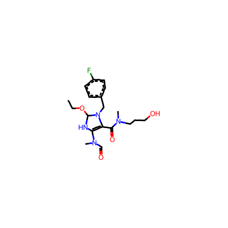 CCOC1NC(N(C)C=O)=C(C(=O)N(C)CCCO)N1Cc1ccc(F)cc1